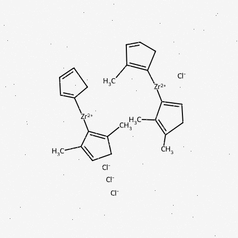 CC1=CCC(C)=[C]1[Zr+2][C]1=CC=CC1.CC1=[C]([Zr+2][C]2=CCC(C)=C2C)CC=C1.[Cl-].[Cl-].[Cl-].[Cl-]